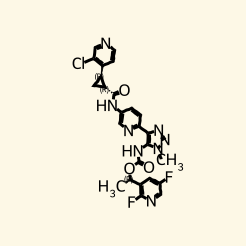 C[C@@H](OC(=O)Nc1c(-c2ccc(NC(=O)[C@@H]3C[C@H]3c3ccncc3Cl)cn2)nnn1C)c1cc(F)cnc1F